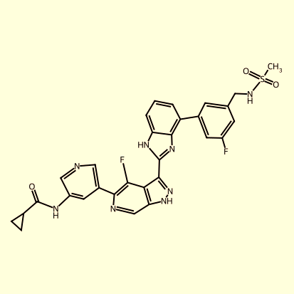 CS(=O)(=O)NCc1cc(F)cc(-c2cccc3[nH]c(-c4n[nH]c5cnc(-c6cncc(NC(=O)C7CC7)c6)c(F)c45)nc23)c1